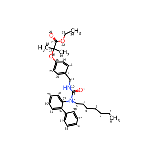 CCCCCCCN(C(=O)NCc1ccc(OC(C)(C)C(=O)OCC)cc1)c1ccccc1-c1ccccc1